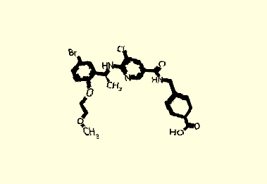 COCCOc1ccc(Br)cc1[C@H](C)Nc1ncc(C(=O)NCC2CCC(C(=O)O)CC2)cc1Cl